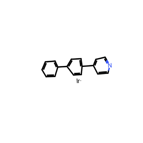 [Ir].c1ccc(-c2ccc(-c3ccncc3)cc2)cc1